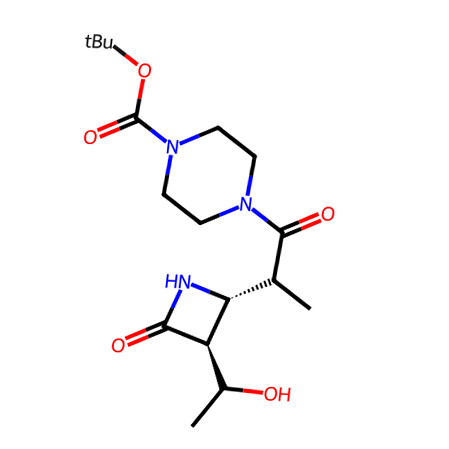 CC(C(=O)N1CCN(C(=O)OC(C)(C)C)CC1)[C@H]1NC(=O)[C@@H]1C(C)O